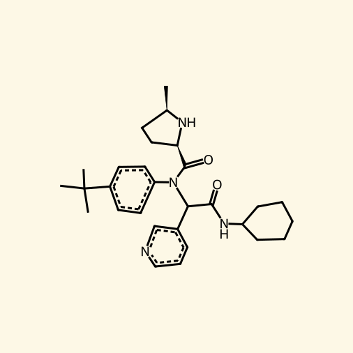 C[C@@H]1CC[C@H](C(=O)N(c2ccc(C(C)(C)C)cc2)C(C(=O)NC2CCCCC2)c2cccnc2)N1